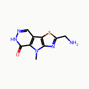 Cn1c2nc(CN)sc2c2cn[nH]c(=O)c21